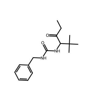 CCC(=O)C(NC(=O)NCc1ccccc1)C(C)(C)C